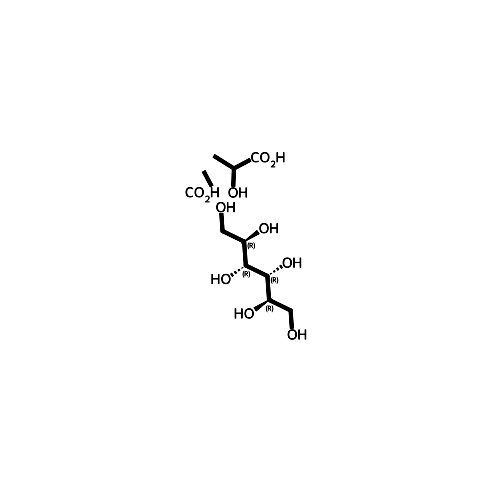 CC(=O)O.CC(O)C(=O)O.OC[C@@H](O)[C@@H](O)[C@H](O)[C@H](O)CO